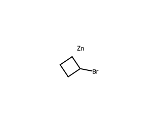 BrC1CCC1.[Zn]